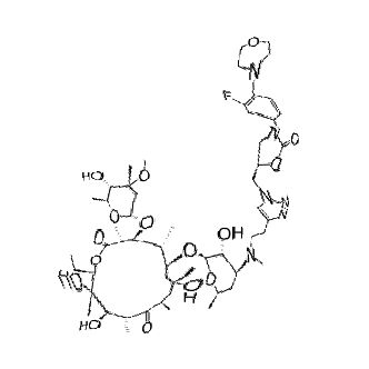 CC[C@H]1OC(=O)[C@H](C)[C@@H](O[C@H]2C[C@@](C)(OC)[C@@H](O)[C@H](C)O2)[C@H](C)[C@@H](O[C@@H]2O[C@H](C)C[C@H](N(C)CCc3cn(C[C@H]4CN(c5ccc(N6CCOCC6)c(F)c5)C(=O)O4)nn3)[C@H]2O)[C@](C)(O)C[C@@H](C)C(=O)[C@H](C)[C@@H](O)[C@]1(C)O